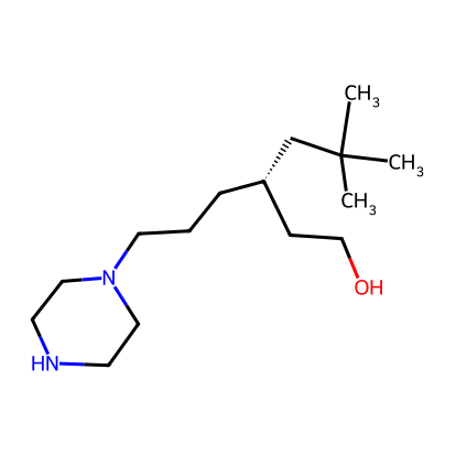 CC(C)(C)C[C@H](CCO)CCCN1CCNCC1